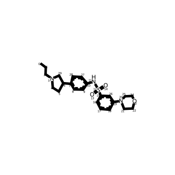 CCCN1CCC(c2ccc(NS(=O)(=O)c3cccc(N4CCOCC4)c3)cc2)C1